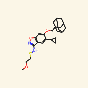 COCCSNc1noc2cc(OCC34CC5CC(CC(C5)C3)C4)c(C3CC3)cc12